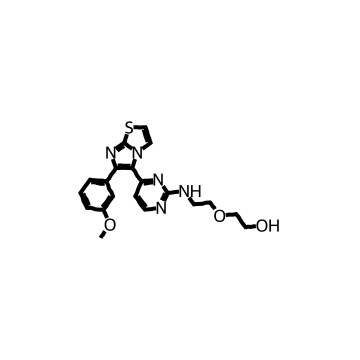 COc1cccc(-c2nc3sccn3c2-c2ccnc(NCCOCCO)n2)c1